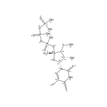 C[C@]1(OP(=O)(O)OP(=O)(O)OP(=O)(O)O)O[C@@H](n2cc(F)c(=S)[nH]c2=S)[C@@H](O)C1CO